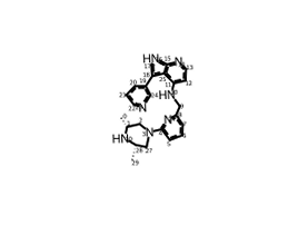 C[C@@H]1CN(c2cccc(CNc3ccnc4[nH]cc(-c5cccnc5)c34)n2)C[C@H](C)N1